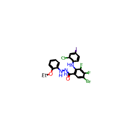 CCOc1ccccc1NNC(=O)c1cc(Br)c(F)c(F)c1Nc1ccc(I)cc1Cl